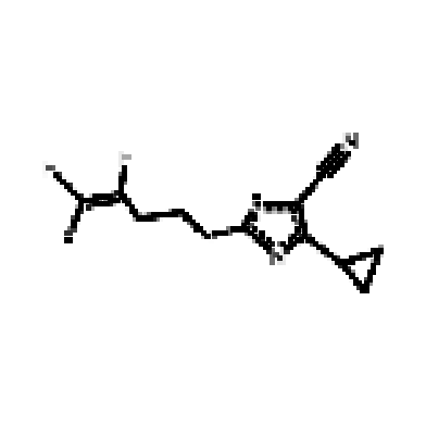 N#Cc1sc(SCCC(F)=C(F)F)nc1C1CC1